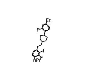 CCCc1ccc(CCC2CCC(c3ccc(CC)cc3F)CC2)c(I)c1F